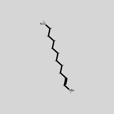 CCCCC=CCCCCCCCCOC(C)=O